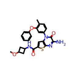 COC1CC(NC(=O)c2cc3c(nc(N)c(=O)n3-c3ccc(C)c(Oc4ccccc4)c3)s2)C1